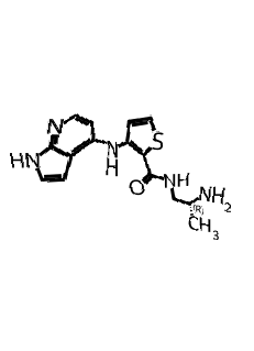 C[C@@H](N)CNC(=O)c1sccc1Nc1ccnc2[nH]ccc12